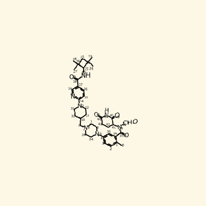 Cc1ccc(N2CCN(CC3CCN(c4ccc(C(=O)NC5C(C)(C)CC5(C)C)cn4)CC3)CC2)cc1C(=O)N(C=O)C1CCC(=O)NC1=O